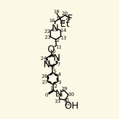 C=C(c1ccc(-c2cnc(OCC3CCN(CC(C)(CC)CF)CC3)cn2)cc1)N1CCC(O)C1